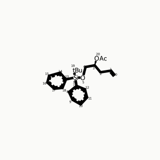 C=CC[C@@H](CO[Si](c1ccccc1)(c1ccccc1)C(C)(C)C)OC(C)=O